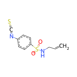 C=CCNS(=O)(=O)c1ccc(N=C=S)cc1